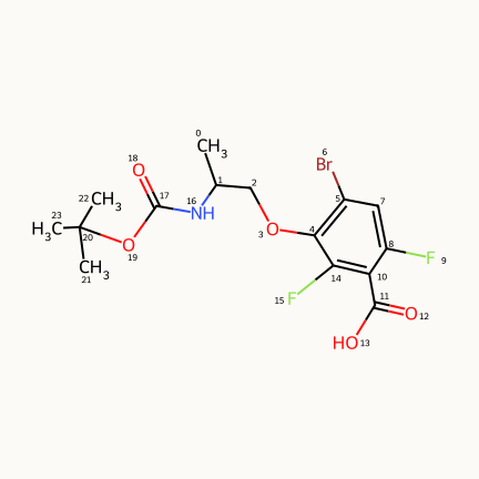 CC(COc1c(Br)cc(F)c(C(=O)O)c1F)NC(=O)OC(C)(C)C